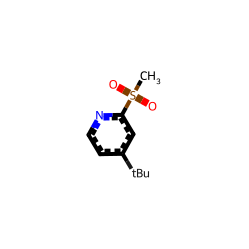 CC(C)(C)c1ccnc(S(C)(=O)=O)c1